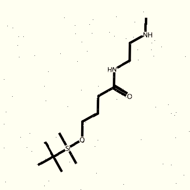 CNCCNC(=O)CCCO[Si](C)(C)C(C)(C)C